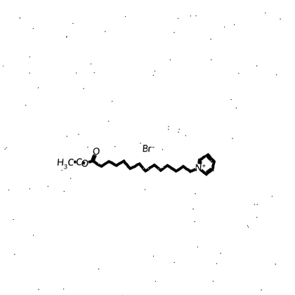 CCOC(=O)CCCCCCCCCCCCC[n+]1ccccc1.[Br-]